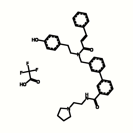 O=C(NCCN1CCCC1)c1cccc(-c2cccc(CN(CCc3ccc(O)cc3)C(=O)/C=C/c3ccccc3)c2)c1.O=C(O)C(F)(F)F